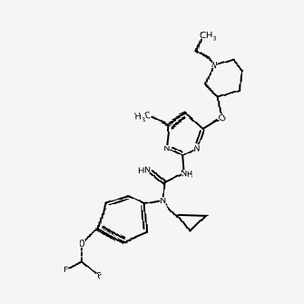 CCN1CCCC(Oc2cc(C)nc(NC(=N)N(c3ccc(OC(F)F)cc3)C3CC3)n2)C1